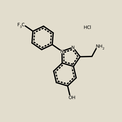 Cl.NCc1nn(-c2ccc(C(F)(F)F)cc2)c2ccc(O)cc12